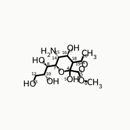 COC(=O)C1(O)O[C@@H]([C@H](O)[C@H](O)CO)[C@H](N)[C@@H](O)C1C(C)=O